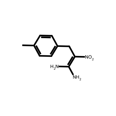 Cc1ccc(CC(=C(N)N)[N+](=O)[O-])cc1